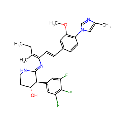 CC/C(C)=C(\C=C\c1ccc(-n2cnc(C)c2)c(OC)c1)/N=C1\NCC[C@@H](O)[C@@H]1c1cc(F)c(F)c(F)c1